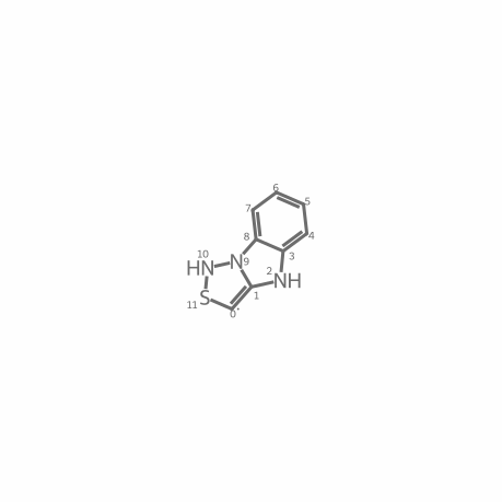 [C]1=C2Nc3ccccc3N2NS1